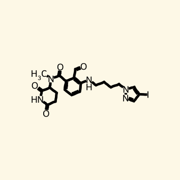 CN(C(=O)c1cccc(NCCCCn2cc(I)cn2)c1C=O)C1CCC(=O)NC1=O